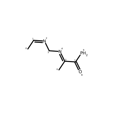 C/C=N\C/N=C(\C)C(=O)P